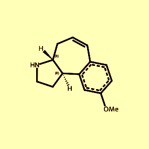 COc1ccc2c(c1)[C@H]1CCN[C@@H]1CC=C2